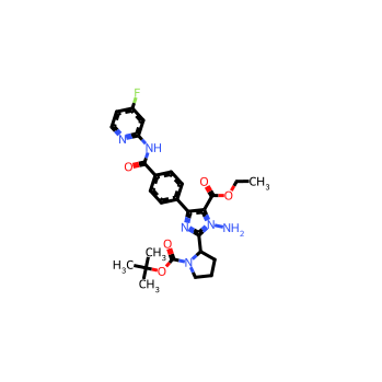 CCOC(=O)c1c(-c2ccc(C(=O)Nc3cc(F)ccn3)cc2)nc(C2CCCN2C(=O)OC(C)(C)C)n1N